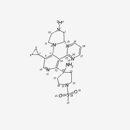 [2H]N1CCN(c2c(C3CC3)cnc(C3(N)CCN(S(C)(=O)=O)CC3)c2-c2ncccn2)CC1